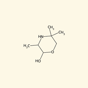 CC1NC(C)(C)COC1O